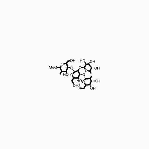 COC1OC(CO)[C@@H](O[C@@H]2OC(CO)[C@H](O)[C@H](O[C@H]3OC(CO)[C@H](O)[C@H](O)C3C)C2O[C@@H]2OC(C)[C@@H](O)[C@H](O)C2O)[C@H](O)C1C